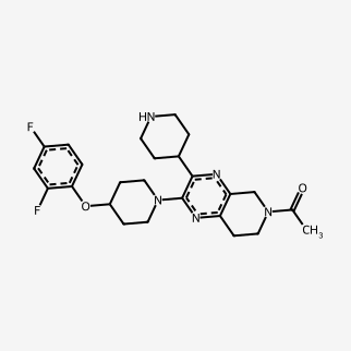 CC(=O)N1CCc2nc(N3CCC(Oc4ccc(F)cc4F)CC3)c(C3CCNCC3)nc2C1